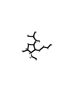 CCCCC1C(P(C)C(C)C)CC(C)[C@H]1CC